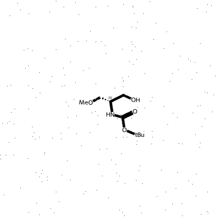 COC[C@H](CO)NC(=O)OC(C)(C)C